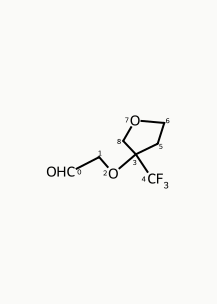 O=CCOC1(C(F)(F)F)CCOC1